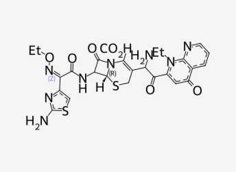 CCO/N=C(\C(=O)NC1C(=O)N2C(C(=O)O)=C(C(N)C(=O)c3cc(=O)c4cccnc4n3CC)CS[C@H]12)c1csc(N)n1